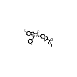 CCOC(=O)c1cn2ccc(NC(=O)c3cc4cc(F)ccc4n3Cc3cccc(F)c3)cc2n1